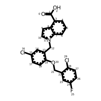 O=C(O)c1cccc2c1ccn2Cc1cc(Cl)ccc1OCc1cc(F)ccc1Cl